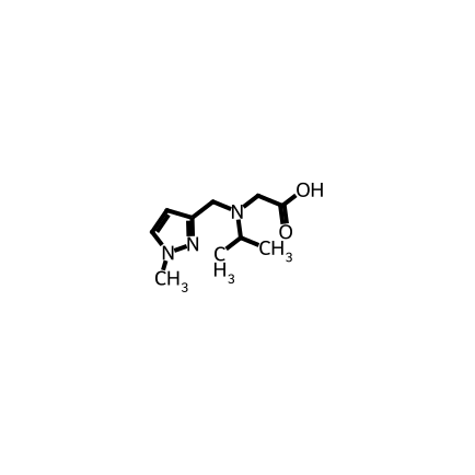 CC(C)N(CC(=O)O)Cc1ccn(C)n1